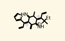 C=C/C(=C1\C(=C)C(=N)/C(=C(/C=C)C(C)(CC)CC)C(C)C1=N)c1cccs1